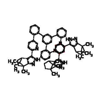 CC12CCC(c3c1n[nH]c3-c1ccc(-c3ccccc3-c3cc(-c4ccccc4-c4ccc(-c5[nH]nc6c5C5CCC6(C)C5(C)C)nc4)cc(-c4ccccc4-c4ccc(-c5[nH]nc6c5C5CCC6(C)C5(C)C)nc4)c3)cn1)C2(C)C